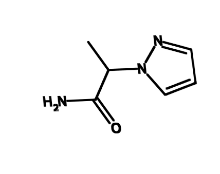 CC(C(N)=O)n1cccn1